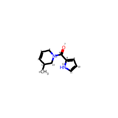 CC1C=CCN(C(=O)c2ccc[nH]2)C1